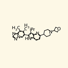 Cc1c(-c2[nH]c3ccc(C4CCN(C5COC5)CC4)nc3c2C(C)C)cn2ncnc2c1C